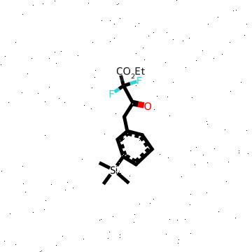 CCOC(=O)C(F)(F)C(=O)Cc1cccc([Si](C)(C)C)c1